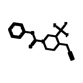 C#CCC1CCN(C(=O)Oc2ccccc2)CC1C(F)(F)F